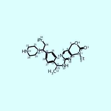 CCN1C(=O)OCc2cnc(N[C@@H](C)c3ccc(C(CC(C)C)N4CCNCC4)cc3)nc21